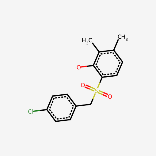 Cc1ccc(S(=O)(=O)Cc2ccc(Cl)cc2)c([O])c1C